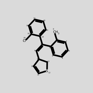 Cc1ccccc1C(=CC1C=CSC1)c1ccccc1Cl